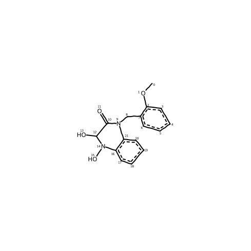 COc1ccccc1CN1C(=O)C(O)N(O)c2ccccc21